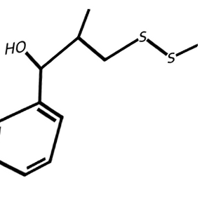 CSSCC(C)C(O)c1ccccc1